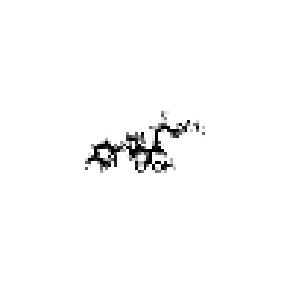 Cc1ccc(-n2cnc(C3(C(=O)O)CC3C[C@@H](C)CN)c2)nc1